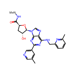 CNNC(=O)[C@@H]1C[C@@H](O)[C@H](n2cnc3c(NCc4cccc(C)n4)nc(-c4cncc(C)c4)nc32)O1